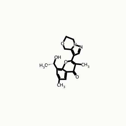 Cc1cc([C@H](C)O)c2oc(-c3cnn4c3COCC4)c(C)c(=O)c2c1